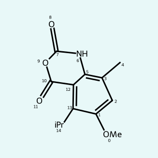 COc1cc(C)c2[nH]c(=O)oc(=O)c2c1C(C)C